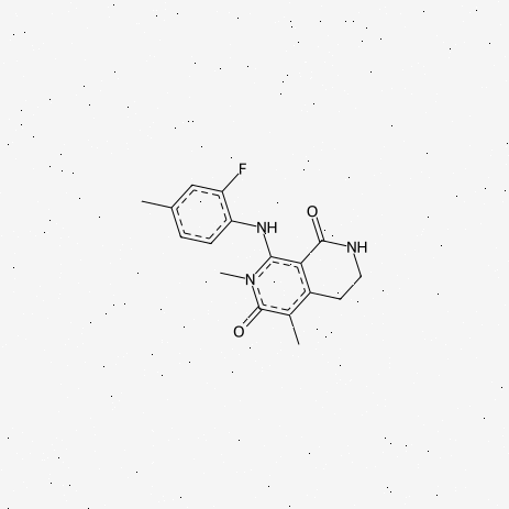 Cc1ccc(Nc2c3c(c(C)c(=O)n2C)CCNC3=O)c(F)c1